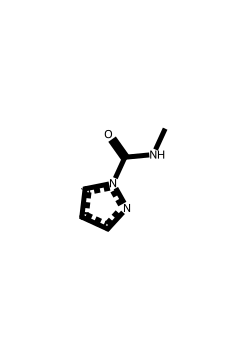 CNC(=O)n1[c]ccn1